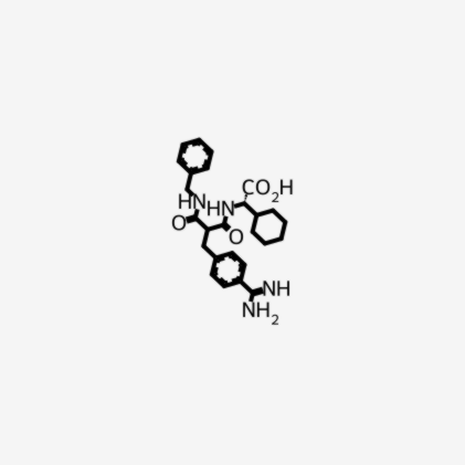 N=C(N)c1ccc(CC(C(=O)NCc2ccccc2)C(=O)N[C@H](C(=O)O)C2CCCCC2)cc1